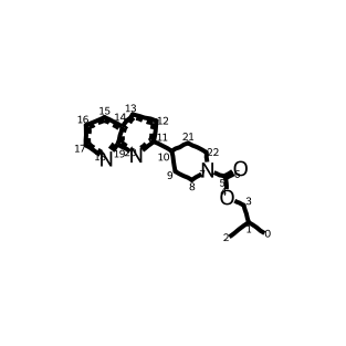 CC(C)COC(=O)N1CCC(c2ccc3cccnc3n2)CC1